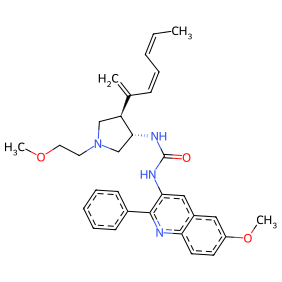 C=C(/C=C\C=C/C)[C@@H]1CN(CCOC)C[C@H]1NC(=O)Nc1cc2cc(OC)ccc2nc1-c1ccccc1